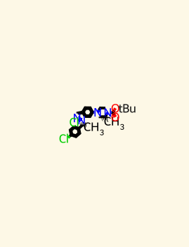 C[C@@H]1CN(c2ccc3cnn([C@H](C)c4ccc(Cl)cc4Cl)c3c2)CCN1C(=O)OC(C)(C)C